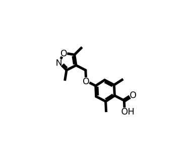 Cc1cc(OCc2c(C)noc2C)cc(C)c1C(=O)O